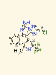 Cc1cc(-c2c(-c3ccccc3)nc(N)n3nc(CCl)nc23)cc(C(F)(F)F)n1